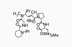 COC(=O)[C@H](CCSC)NC(=O)[C@@H]1CCCN1C(=O)/C(C)=C/[C@H](C(C)C)N(C)C(=O)[C@@H](NC(=O)C1CCCCN1C(C)C)C(C)(C)C